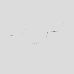 CCCOC(C)N(C)C